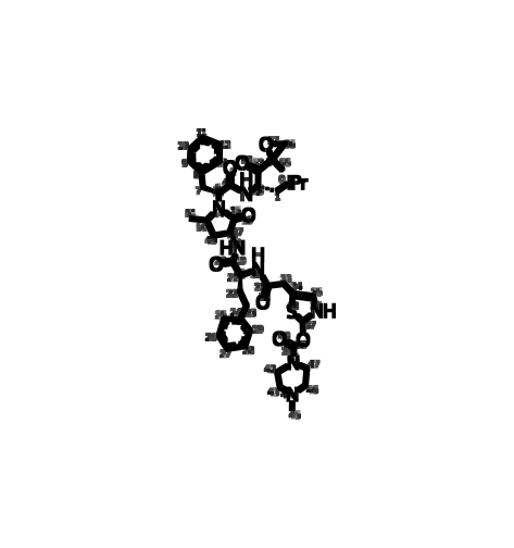 CC(C)C[C@H](NC(=O)[C@H](Cc1ccccc1)N1C(=O)[C@@H](NC(=O)[C@H](CCc2ccccc2)NC(=O)CC2=CNC(OC(=O)N3CCN(C)CC3)S2)CC1C)C(=O)C1(C)CO1